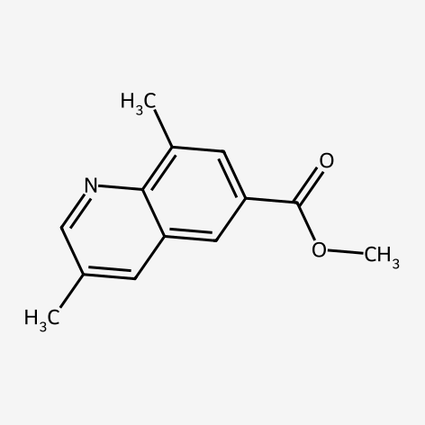 COC(=O)c1cc(C)c2ncc(C)cc2c1